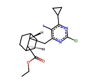 CCOC(=O)[C@H]1C2CCC(CC2)[C@@H]1Cc1nc(Cl)nc(C2CC2)c1I